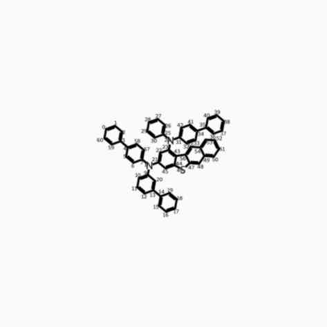 c1ccc(-c2ccc(N(c3cccc(-c4ccccc4)c3)c3cc(N(c4ccccc4)c4ccc(-c5ccccc5)cc4)c4c(c3)sc3cc5ccccc5cc34)cc2)cc1